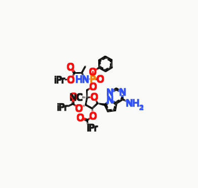 CC(C)OC(=O)C(C)N[P@](=O)(OC[C@@]1(C#N)O[C@@H](c2ccc3c(N)ncnn23)[C@H](OC(=O)C(C)C)[C@@H]1OC(=O)C(C)C)Oc1ccccc1